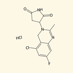 CC1=Nc2cc(F)cc(Cl)c2CN1C1CC(=O)NC1=O.Cl